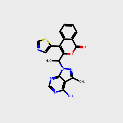 Cc1nn(C(C)c2oc(=O)c3ccccc3c2-c2cncs2)c2ncnc(N)c12